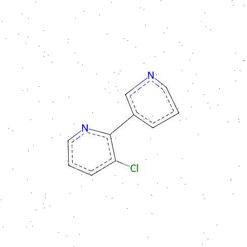 Clc1cccnc1-c1cccnc1